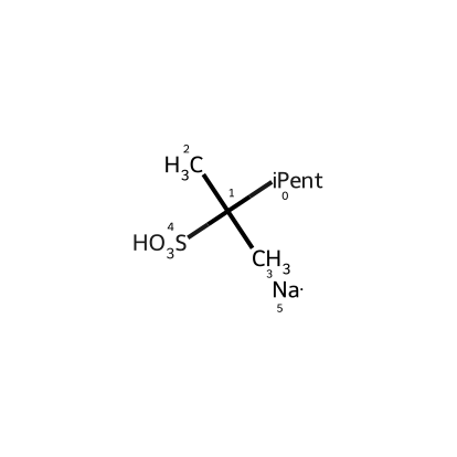 CCCC(C)C(C)(C)S(=O)(=O)O.[Na]